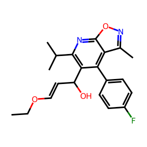 CCOC=CC(O)c1c(C(C)C)nc2onc(C)c2c1-c1ccc(F)cc1